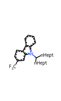 CCCCCCCC(CCCCCCC)n1c2ccccc2c2ccc(C(F)(F)F)cc21